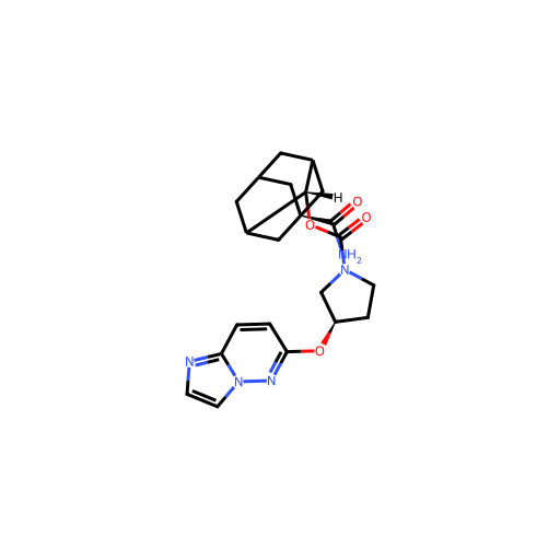 NC(=O)[C@]12CC3CC(C1)[C@@H](OC(=O)N1CC[C@@H](Oc4ccc5nccn5n4)C1)C(C3)C2